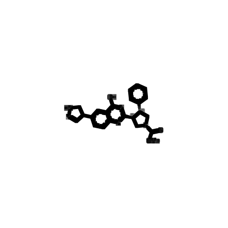 COC(=O)N1C[C@@H](c2ccccc2)[C@H](c2nc(O)c3cc(C4C=NNC4)ccc3n2)C1